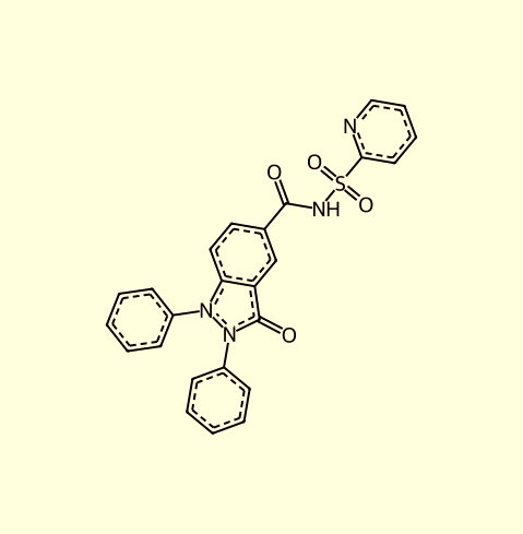 O=C(NS(=O)(=O)c1ccccn1)c1ccc2c(c1)c(=O)n(-c1ccccc1)n2-c1ccccc1